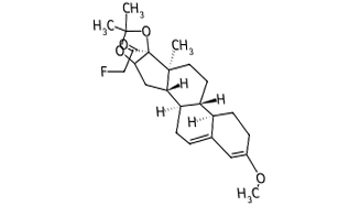 COC1=CC2=CC[C@@H]3[C@H](CC[C@@]4(C)[C@H]3CC3OC(C)(C)O[C@]34C(=O)CF)[C@H]2CC1